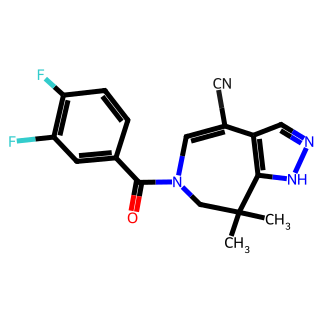 CC1(C)CN(C(=O)c2ccc(F)c(F)c2)C=C(C#N)c2cn[nH]c21